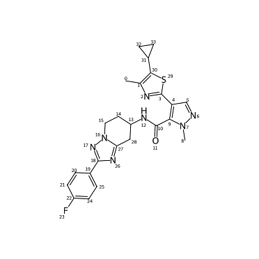 Cc1nc(-c2cnn(C)c2C(=O)NC2CCn3nc(-c4ccc(F)cc4)nc3C2)sc1C1CC1